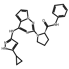 O=C(Nc1ccccc1)[C@H]1CCCN1c1nc(Nc2cc(C3CC3)[nH]n2)c2cccn2n1